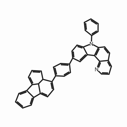 C1=CC2C(c3ccc(-c4ccc5c(c4)c4c6ncccc6ccc4n5-c4ccccc4)cc3)=CC=C3c4ccccc4C(=C1)C32